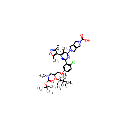 Cc1noc(C)c1-c1nc(-c2cc(OCC(CN(C)C(=O)OC(C)(C)C)O[Si](C)(C)C(C)(C)C)ccc2Cl)nc(N2CC3=C(CN(C(=O)O)C3)C2)c1C